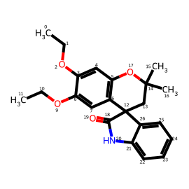 CCOc1cc2c(cc1OCC)C1(CC(C)(C)O2)C(=O)Nc2ccccc21